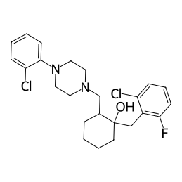 OC1(Cc2c(F)cccc2Cl)CCCCC1CN1CCN(c2ccccc2Cl)CC1